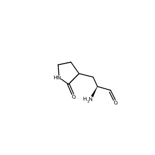 N[C@H](C=O)CC1CCNC1=O